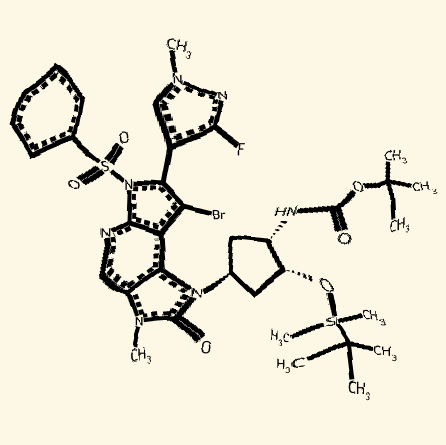 Cn1cc(-c2c(Br)c3c(ncc4c3n([C@H]3C[C@H](NC(=O)OC(C)(C)C)[C@H](O[Si](C)(C)C(C)(C)C)C3)c(=O)n4C)n2S(=O)(=O)c2ccccc2)c(F)n1